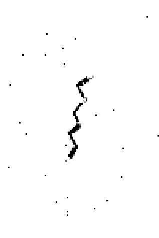 O=CC=CCOC=O